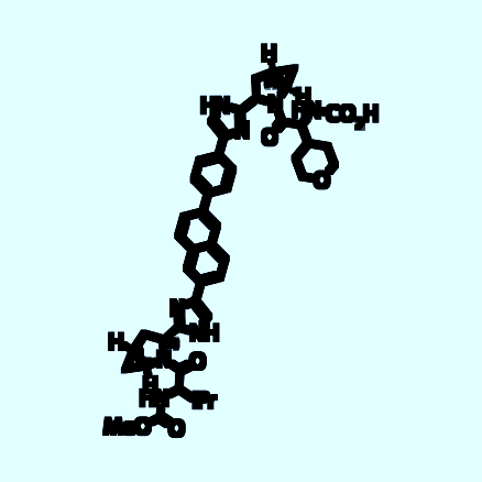 COC(=O)NC(C(=O)N1[C@@H]2C[C@@H]2C[C@H]1c1nc(-c2ccc3cc(-c4ccc(-c5c[nH]c(C6C[C@H]7C[C@H]7N6C(=O)C(NC(=O)O)C6CCOCC6)n5)cc4)ccc3c2)c[nH]1)C(C)C